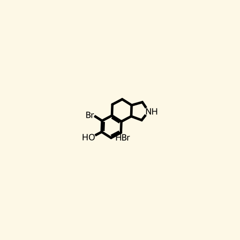 Br.Oc1ccc2c(c1Br)CCC1CNCC21